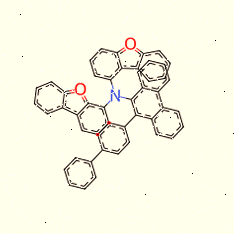 c1ccc(-c2ccc(-c3c(N(c4cccc5c4oc4ccccc45)c4cccc5oc6ccccc6c45)c4ccccc4c4ccccc34)cc2)cc1